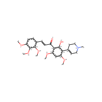 COc1ccc(/C=C/C(=O)c2c(OC)cc(OC)c(C3=CCN(C)CC3)c2O)c(OC)c1OC